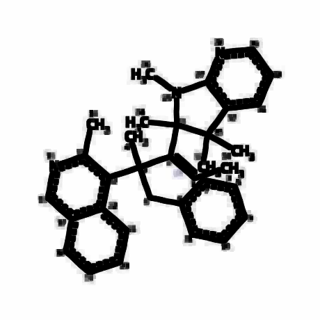 C/C=C(/C(C)(Cc1ccccc1)c1c(C)ncc2ccccc12)C1(C)N(C)c2ncccc2C1(C)C